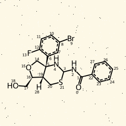 O=C(NC1N[C@@]2(c3cc(Br)ccc3F)CO[C@H](CO)[C@H]2CS1)c1ccccc1